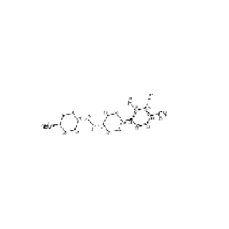 CCCC[C@H]1CC[C@H](CC[C@H]2CC[C@H](c3ccc(C#N)c(F)c3F)CC2)CC1